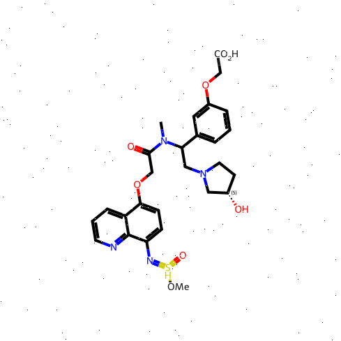 CO[SH](=O)=Nc1ccc(OCC(=O)N(C)C(CN2CC[C@H](O)C2)c2cccc(OCC(=O)O)c2)c2cccnc12